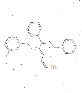 Cc1cccc(CCC(=C\C=C/P)/C(=C\Cc2ccccc2)c2ccccc2)c1